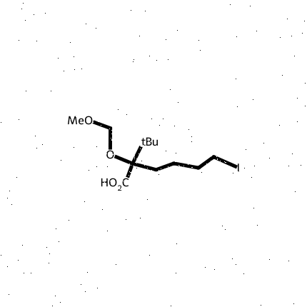 COCOC(CCCCI)(C(=O)O)C(C)(C)C